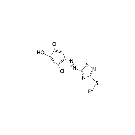 CCSc1nsc(/N=N/c2cc(Cl)c(O)cc2Cl)n1